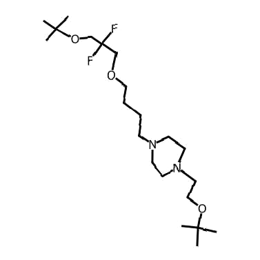 CC(C)(C)OCCN1CCN(CCCCOCC(F)(F)COC(C)(C)C)CC1